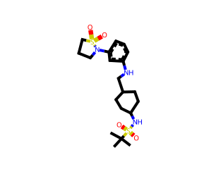 CC(C)(C)S(=O)(=O)NC1CCC(CNc2cccc(N3CCCS3(=O)=O)c2)CC1